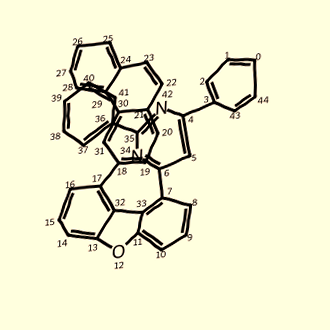 c1ccc(-c2cc(-c3cccc4oc5cccc(-c6ccc7ccc8ccccc8c7c6)c5c34)nc(-c3ccccc3)n2)cc1